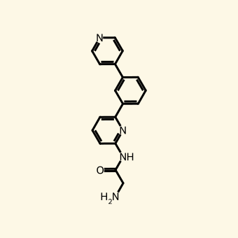 NCC(=O)Nc1cccc(-c2cccc(-c3ccncc3)c2)n1